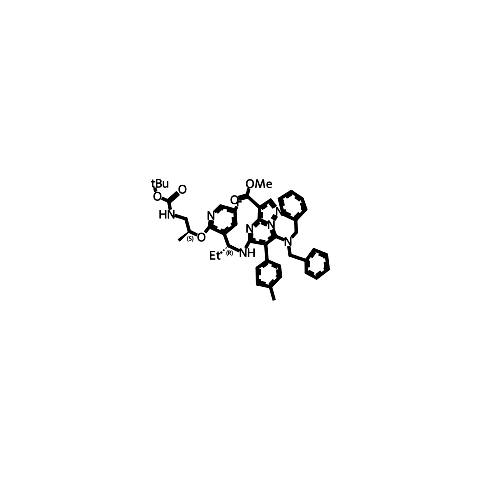 CC[C@@H](Nc1nc2c(C(=O)OC)cnn2c(N(Cc2ccccc2)Cc2ccccc2)c1-c1ccc(C)cc1)c1cc(F)cnc1O[C@@H](C)CNC(=O)OC(C)(C)C